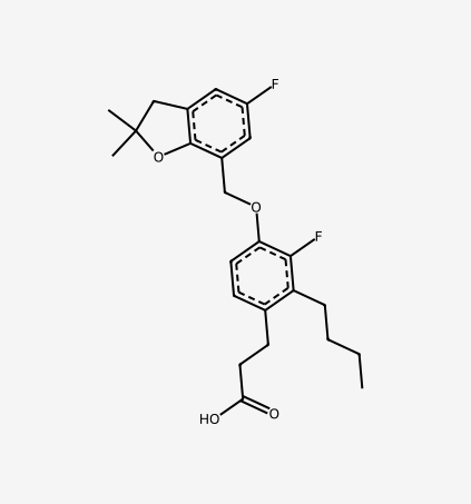 CCCCc1c(CCC(=O)O)ccc(OCc2cc(F)cc3c2OC(C)(C)C3)c1F